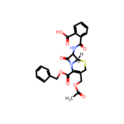 CC(=O)OCC1=C(C(=O)OCc2ccccc2)N2C(=O)C(NC(=O)c3ccccc3C(=O)O)[C@@H]2SC1